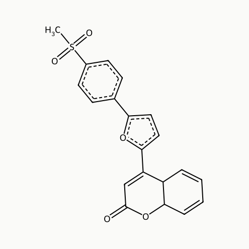 CS(=O)(=O)c1ccc(-c2ccc(C3=CC(=O)OC4C=CC=CC34)o2)cc1